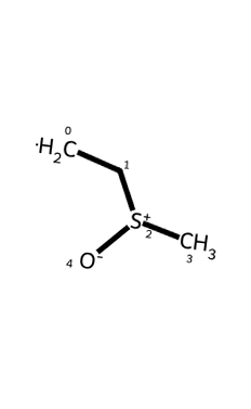 [CH2]C[S+](C)[O-]